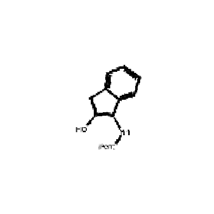 CCCC(C)N[C@@H]1c2ccccc2C[C@@H]1O